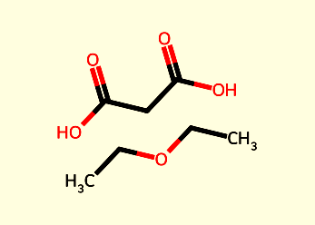 CCOCC.O=C(O)CC(=O)O